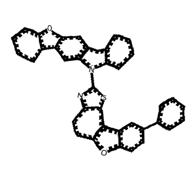 c1ccc(-c2ccc3oc4ccc5nc(-n6c7ccccc7c7cc8oc9ccccc9c8cc76)sc5c4c3c2)cc1